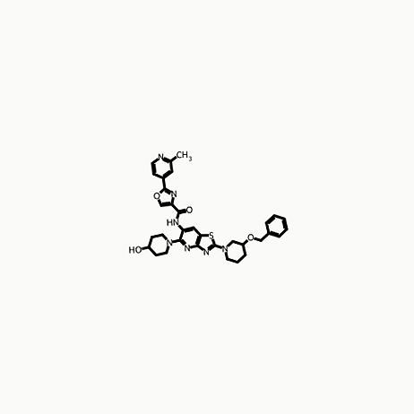 Cc1cc(-c2nc(C(=O)Nc3cc4sc(N5CCCC(OCc6ccccc6)C5)nc4nc3N3CCC(O)CC3)co2)ccn1